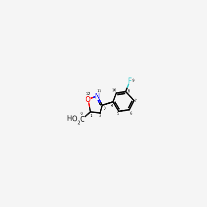 O=C(O)C1CC(c2cccc(F)c2)=NO1